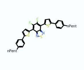 CCCCCc1ccc(-c2ccc(-c3c(F)c(F)c(-c4ccc(-c5ccc(CCCCC)cc5)s4)c4nsnc34)s2)cc1